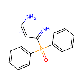 N=C(/C=C\N)P(=O)(c1ccccc1)c1ccccc1